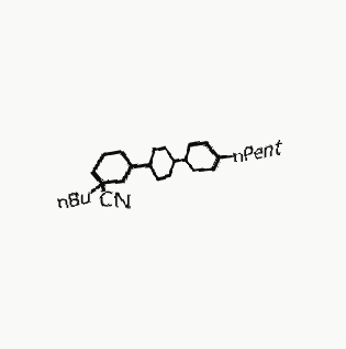 CCCCCC1CCC(C2CCC(C3CCCC(C#N)(CCCC)C3)CC2)CC1